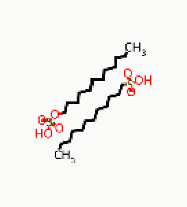 CCCCCCCCCCCCOS(=O)(=O)O.CCCCCCCCCCCCS(=O)(=O)O